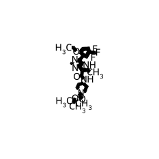 CCOc1ccc(C(F)(F)F)cc1-c1ncnc2c(C(=O)NC3CCN(C(=O)OC(C)(C)C)CC3)c(C)[nH]c12